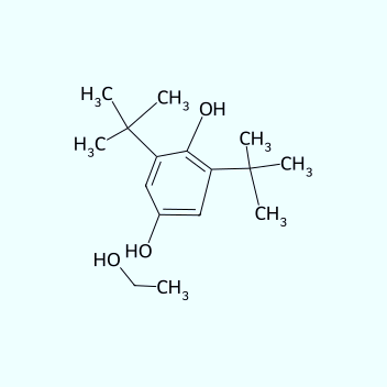 CC(C)(C)c1cc(O)cc(C(C)(C)C)c1O.CCO